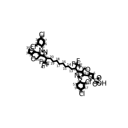 O=S(=O)(O)c1cc2c(s1)-c1c(c(C(CCCCCCCCC(c3nn(-c4ccc(Cl)cc4Cl)c4c3COc3ccsc3-4)C(F)(F)F)C(F)(F)F)nn1-c1ccc(Cl)cc1Cl)CO2